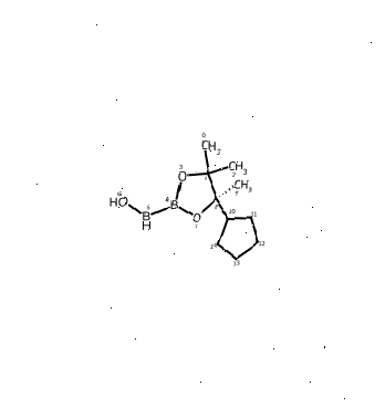 CC1(C)OB(BO)O[C@]1(C)C1CCCC1